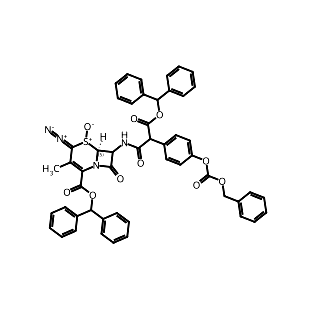 CC1=C(C(=O)OC(c2ccccc2)c2ccccc2)N2C(=O)C(NC(=O)C(C(=O)OC(c3ccccc3)c3ccccc3)c3ccc(OC(=O)OCc4ccccc4)cc3)[C@@H]2[S+]([O-])C1=[N+]=[N-]